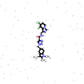 Cc1c(C)n(C)c2ccc(Cn3cc(C(=O)NCc4ncn5ccc(Cl)c(F)c45)nn3)cc12